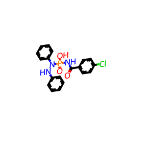 O=C(NP(=O)(O)N(Nc1ccccc1)c1ccccc1)c1ccc(Cl)cc1